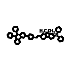 CC1(C)C2=C(CCC(/C=C/c3ccc(-c4ccc5c(-c6ccccc6)c(-c6ccccc6)c6ccccc6c5c4)cc3)=C2)C2C=CC(N(c3ccccc3)c3ccccc3)=CC21